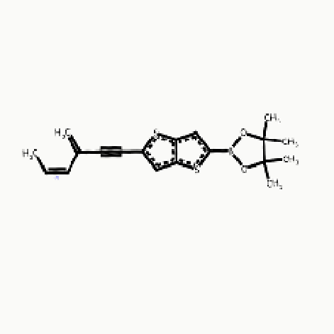 C=C(C#Cc1cc2sc(B3OC(C)(C)C(C)(C)O3)cc2s1)/C=C\C